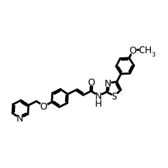 COc1ccc(-c2csc(NC(=O)C=Cc3ccc(OCc4cccnc4)cc3)n2)cc1